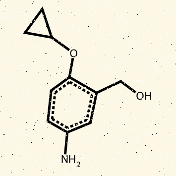 Nc1ccc(OC2CC2)c(CO)c1